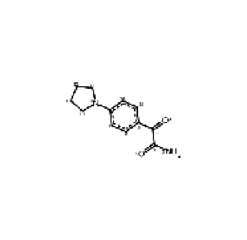 NC(=O)C(=O)c1ccc(N2CCCC2)cc1